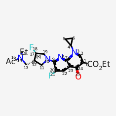 CCOC(=O)c1cn(C2CC2)c2nc(N3C[C@H](CN(CC)C(C)=O)[C@@H](F)C3)c(F)cc2c1=O